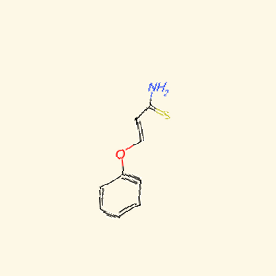 NC(=S)C=COc1ccccc1